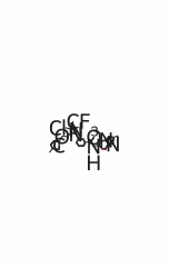 Cc1ccc(OCc2c(Cl)c(C(F)(F)F)nn2-c2cccc(C(=O)Nc3ccc4nc(C)cn4c3)c2)cc1